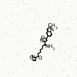 Cn1cc2cc(-c3cc([C@@H](N)CCCCCC(=O)c4ccon4)no3)ccc2n1